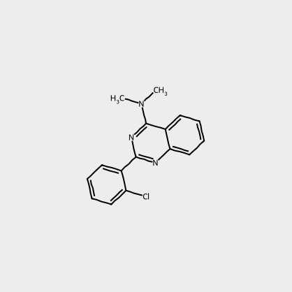 CN(C)c1nc(-c2ccccc2Cl)nc2ccccc12